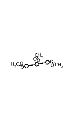 C=CC(=O)Oc1ccc(C#Cc2ccc(C#Cc3ccc(OC(=O)C=C)cc3)c(OC(=O)C=C)c2)cc1